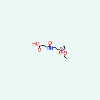 C=CP(=O)(OCC)SCCNC(=O)CCC(=O)O